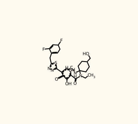 CCN(C(=O)c1[nH]cc(-c2nnc(CC3=CCC(F)C=C3F)s2)c(=O)c1O)C1(NC)CCC(CO)CC1